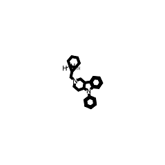 c1ccc(N2c3ccccc3C3CN(CC4[C@H]5CCCC[C@H]45)CCC32)cc1